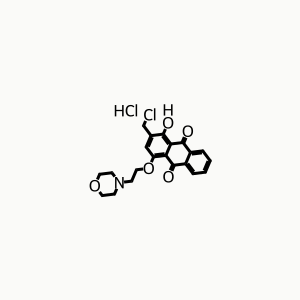 Cl.O=C1c2ccccc2C(=O)c2c(O)c(CCl)cc(OCCN3CCOCC3)c21